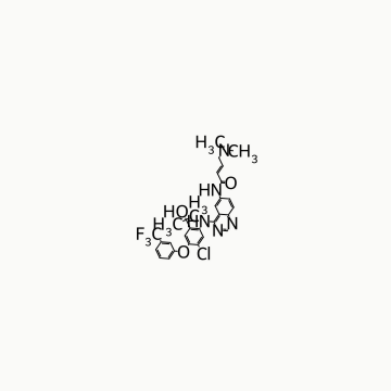 CN(C)CC=CC(=O)Nc1ccc2ncnc(Nc3cc(Cl)c(Oc4cccc(C(F)(F)F)c4)cc3C(C)(C)O)c2c1